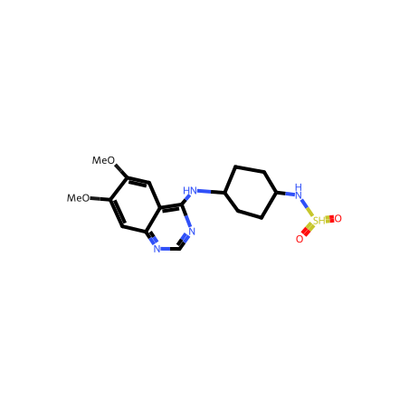 COc1cc2ncnc(NC3CCC(N[SH](=O)=O)CC3)c2cc1OC